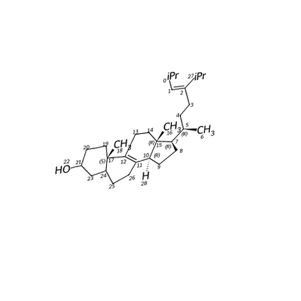 CC(C)C=C(CC[C@@H](C)[C@H]1CC[C@H]2C3=C(CC[C@]12C)[C@@]1(C)CCC(O)CC1CC3)C(C)C